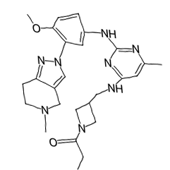 CCC(=O)N1CC(CNc2cc(C)nc(Nc3ccc(OC)c(-n4cc5c(n4)CCN(C)C5)c3)n2)C1